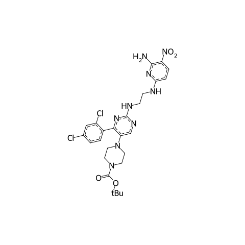 CC(C)(C)OC(=O)N1CCN(c2cnc(NCCNc3ccc([N+](=O)[O-])c(N)n3)nc2-c2ccc(Cl)cc2Cl)CC1